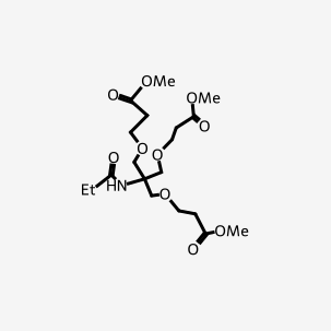 CCC(=O)NC(COCCC(=O)OC)(COCCC(=O)OC)COCCC(=O)OC